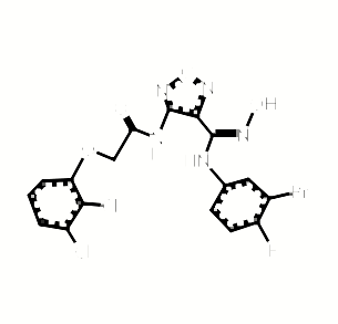 O=C(COc1cccc(Cl)c1Cl)Nc1nonc1/C(=N\O)Nc1ccc(F)c(Br)c1